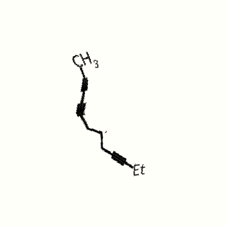 CC#CC#CC[CH]CC#CCC